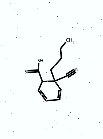 CCCCC1(C#N)C=CC=CC1C(=S)S